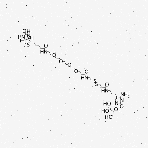 Nc1nc(=O)n([C@@H]2O[C@H](CO)[C@H](O)C2O)cc1CCCNC(=O)CCSSCCNC(=O)CCOCCOCCOCCOCCNC(=O)CCCC[C@@H]1SC[C@@H]2NC(=O)N[C@@H]21